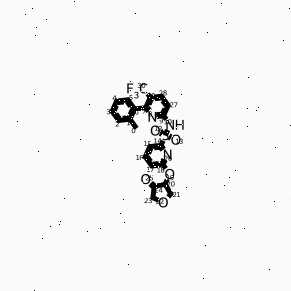 Cc1ccccc1-c1nc(NS(=O)(=O)c2cccc(OC3COCC3=O)n2)ccc1C(F)(F)F